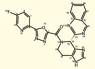 O=C(c1nnc(-c2ccc(F)cn2)o1)N1CCc2[nH]cnc2[C@H]1c1ncc2ccccc2n1